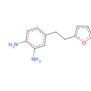 Nc1ccc(CCc2ccco2)cc1N